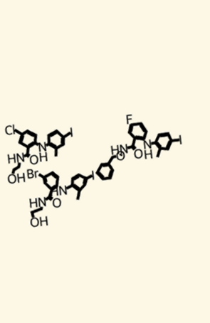 Cc1cc(I)ccc1Nc1ccc(Br)cc1C(=O)NCCO.Cc1cc(I)ccc1Nc1ccc(Cl)cc1C(=O)NCCO.Cc1cc(I)ccc1Nc1ccc(F)cc1C(=O)NOCc1ccccc1